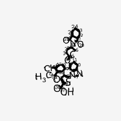 C[C@@H](Oc1cc(-n2cnc3ccc(OC4CCC(N5C(=O)c6ccccc6C5=O)CC4)cc32)sc1C(=O)O)c1ccccc1Cl